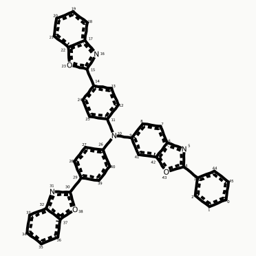 c1ccc(-c2nc3ccc(N(c4ccc(-c5nc6ccccc6o5)cc4)c4ccc(-c5nc6ccccc6o5)cc4)cc3o2)cc1